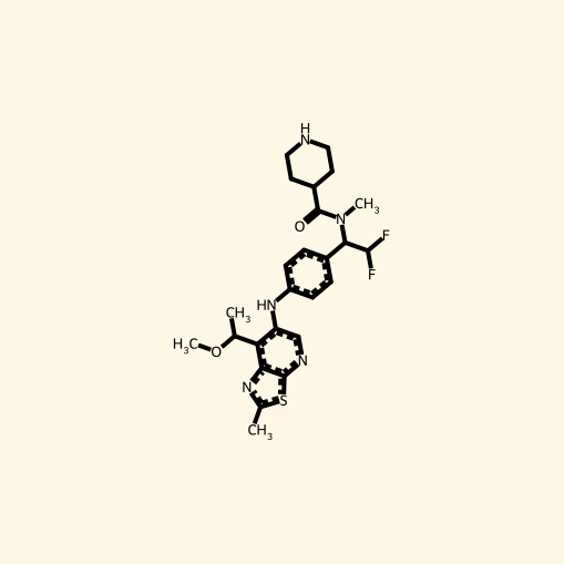 COC(C)c1c(Nc2ccc(C(C(F)F)N(C)C(=O)C3CCNCC3)cc2)cnc2sc(C)nc12